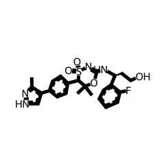 Cc1n[nH]cc1-c1ccc(C2C(C)(C)OC(N[C@@H](CCO)c3ccccc3F)=NS2(=O)=O)cc1